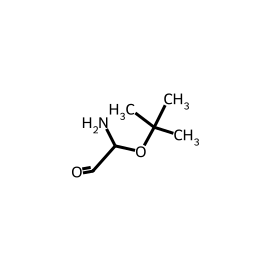 CC(C)(C)OC(N)C=O